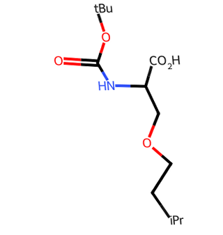 CC(C)CCOCC(NC(=O)OC(C)(C)C)C(=O)O